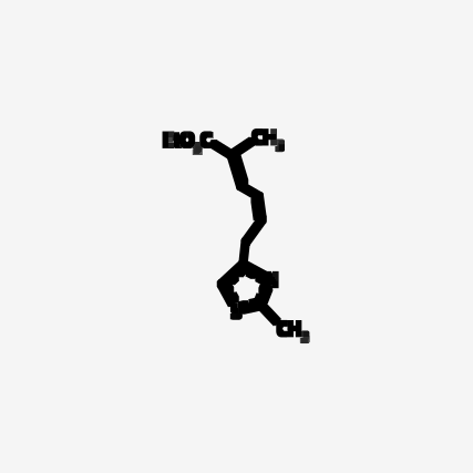 CCOC(=O)/C(C)=C/C=C\Cc1csc(C)n1